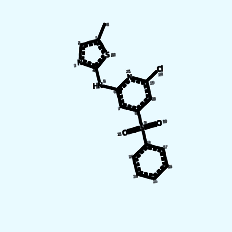 Cc1cnc(Nc2cc(S(=O)(=O)c3ccccc3)cc(Cl)n2)s1